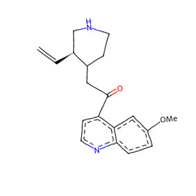 C=C[C@H]1CNCCC1CC(=O)c1ccnc2ccc(OC)cc12